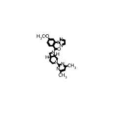 COc1ccc(C(=O)N2C[C@H]3CCN(c4nc(C)cc(C)n4)C[C@H]32)c(-n2nccn2)c1